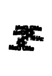 COc1ccc(CCc2c(NC(C)=O)cc(OC)c(OC)c2OC)cc1OC